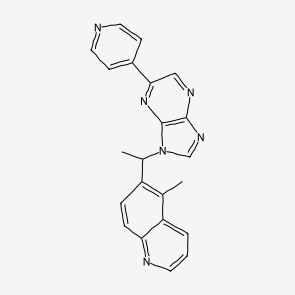 Cc1c(C(C)n2cnc3ncc(-c4ccncc4)nc32)ccc2ncccc12